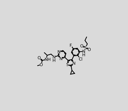 CCCS(=O)(=O)Nc1cc(F)cc(-c2nc(C3CC3)sc2-c2ccnc(NCC(C)NC(=O)OC)n2)c1Cl